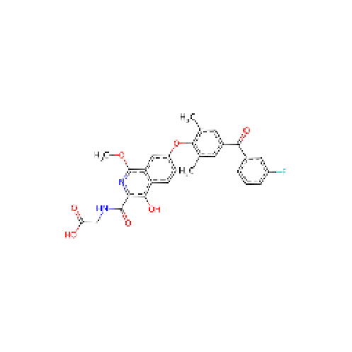 COc1nc(C(=O)NCC(=O)O)c(O)c2ccc(Oc3c(C)cc(C(=O)c4cccc(F)c4)cc3C)cc12